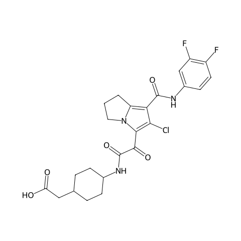 O=C(O)CC1CCC(NC(=O)C(=O)c2c(Cl)c(C(=O)Nc3ccc(F)c(F)c3)c3n2CCC3)CC1